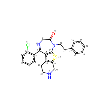 O=C1CN=C(c2ccccc2Cl)c2c(sc3c2CCNC3)N1CCc1ccccc1